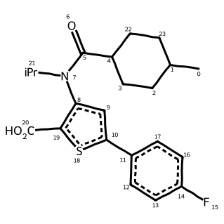 CC1CCC(C(=O)N(c2cc(-c3ccc(F)cc3)sc2C(=O)O)C(C)C)CC1